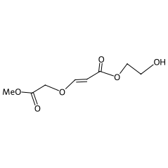 COC(=O)CO/C=C/C(=O)OCCO